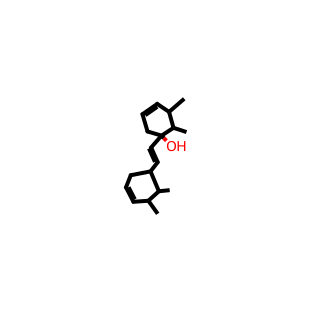 CC1C=CCC(/C=C/C2(O)CC=CC(C)C2C)C1C